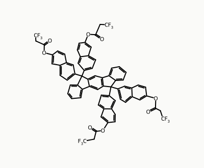 O=C(CC(F)(F)F)Oc1ccc2cc(C3(c4ccc5cc(OC(=O)CC(F)(F)F)ccc5c4)c4ccccc4-c4cc5c(cc43)-c3ccccc3C5(c3ccc4cc(OC(=O)CC(F)(F)F)ccc4c3)c3ccc4cc(OC(=O)CC(F)(F)F)ccc4c3)ccc2c1